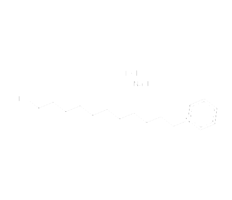 CCCCCCCCCCCC[n+]1ccccc1.Cl.[NaH]